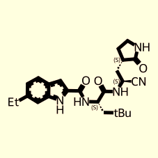 CCc1ccc2cc(C(=O)N[C@@H](CC(C)(C)C)C(=O)N[C@H](C#N)C[C@@H]3CCNC3=O)[nH]c2c1